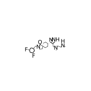 CNCCN(C)Cc1c[nH]nc1[C@H]1CC[C@@]2(CCN(Cc3cc(F)cc(F)c3)C2=O)CC1